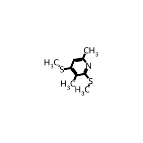 CSc1cc(C)nc(SC)c1C